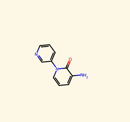 Nc1cccn(-c2cccnc2)c1=O